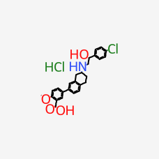 COc1ccc(-c2ccc3c(c2)C[C@@H](NC[C@H](O)c2ccc(Cl)cc2)CC3)cc1C(=O)O.Cl